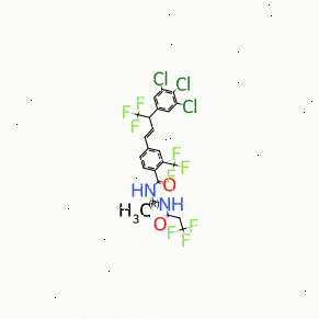 C[C@H](NC(=O)CC(F)(F)F)NC(=O)c1ccc(C=CC(c2cc(Cl)c(Cl)c(Cl)c2)C(F)(F)F)cc1C(F)(F)F